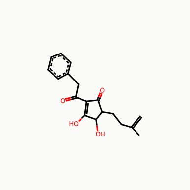 C=C(C)CCC1C(=O)C(C(=O)Cc2ccccc2)=C(O)C1O